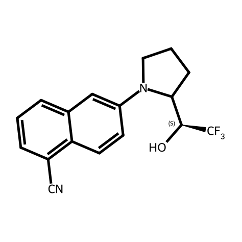 N#Cc1cccc2cc(N3CCCC3[C@H](O)C(F)(F)F)ccc12